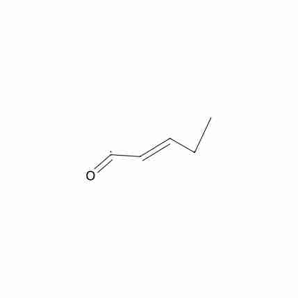 CCC=C[C]=O